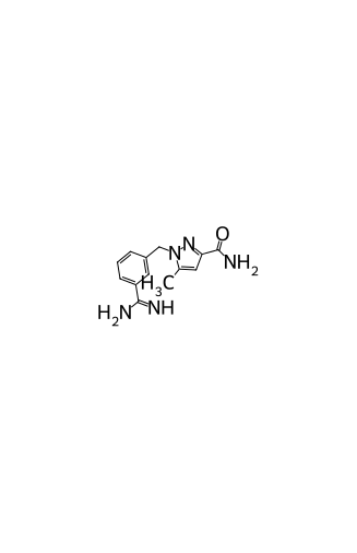 Cc1cc(C(N)=O)nn1Cc1cccc(C(=N)N)c1